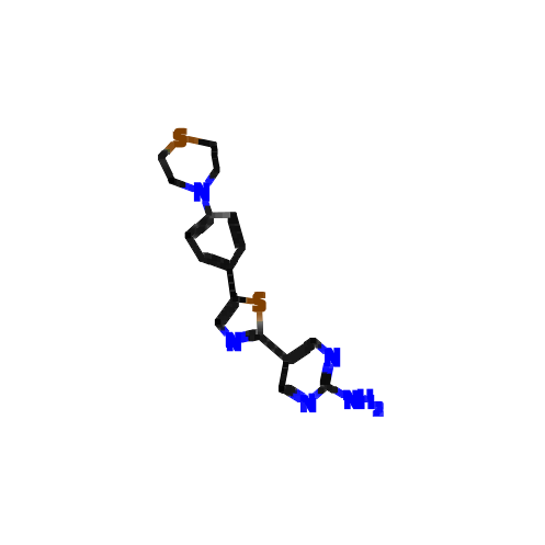 Nc1ncc(-c2ncc(-c3ccc(N4CCSCC4)cc3)s2)cn1